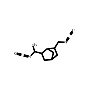 CCCCC(N=C=O)C1CC2CC(CN=C=O)C1C2